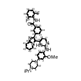 COc1cc(N2CCN(C(C)C)CC2)ccc1NC1N=CC=C(c2c(-c3cccc(C(=O)Nc4c(F)cccc4F)c3)nc3ccccn23)N1